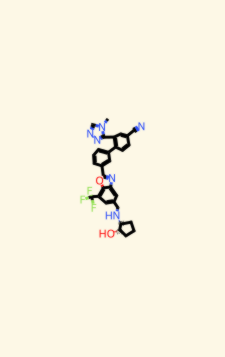 Cn1cnnc1-c1cc(C#N)ccc1-c1cccc(-c2nc3cc(CN[C@@H]4CCC[C@@H]4O)cc(C(F)(F)F)c3o2)c1